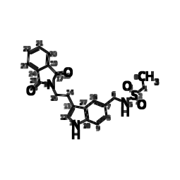 CCS(=O)(=O)NCc1ccc2[nH]cc(CCN3C(=O)c4ccccc4C3=O)c2c1